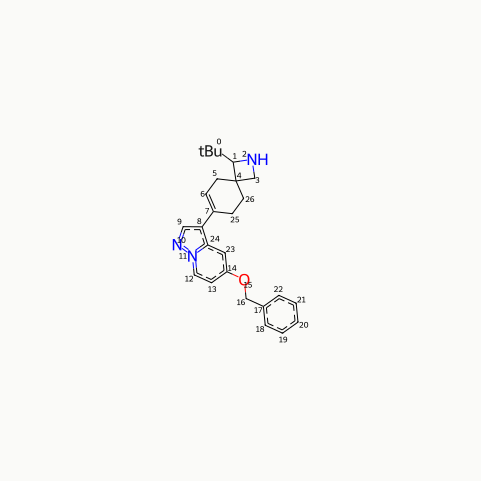 CC(C)(C)C1NCC12CC=C(c1cnn3ccc(OCc4ccccc4)cc13)CC2